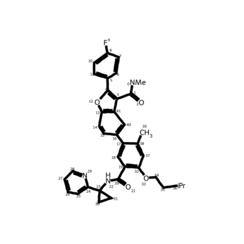 CNC(=O)c1c(-c2ccc(F)cc2)oc2ccc(-c3cc(C(=O)NC4(c5ccccn5)CC4)c(OCCC(C)C)cc3C)cc12